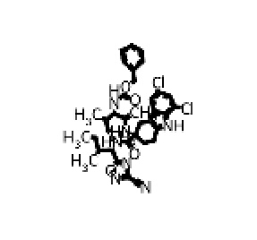 C=C(N[C@]1(C(=O)N[C@H](c2nc(C#N)no2)C(C)CC)CCc2[nH]c3c(Cl)cc(Cl)cc3c2C1)[C@@H](NC(=O)OCc1ccccc1)C(C)CC